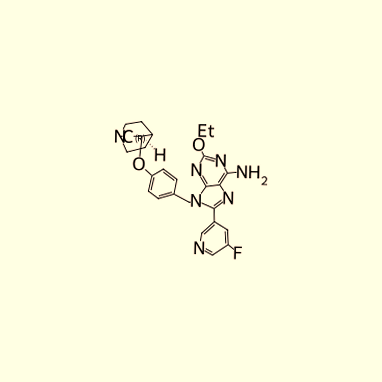 CCOc1nc(N)c2nc(-c3cncc(F)c3)n(Cc3ccc(O[C@H]4CN5CCC4CC5)cc3)c2n1